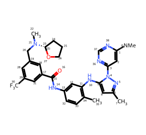 CNc1cc(-n2nc(C)cc2Nc2cc(NC(=O)c3cc(CN(C)[C@@H]4CCCO4)cc(C(F)(F)F)c3)ccc2C)ncn1